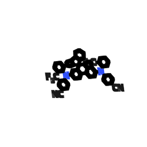 N#Cc1ccc(N(c2ccc3c(c2)C2(c4ccccc4-c4ccccc42)c2cccc4c(N(c5ccc(C#N)cc5)c5ccccc5C(F)(F)F)ccc-3c24)c2ccccc2C(F)(F)F)cc1